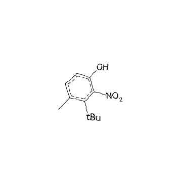 Cc1ccc(O)c([N+](=O)[O-])c1C(C)(C)C